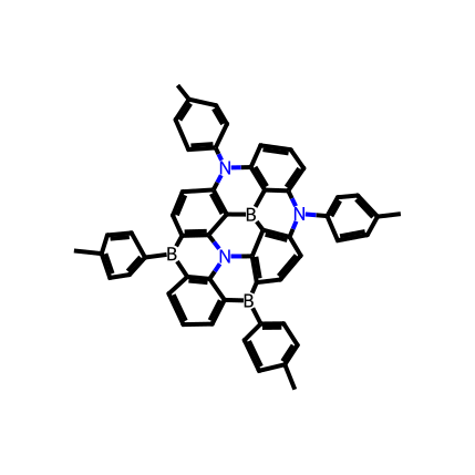 Cc1ccc(B2c3cccc4c3N3c5c2ccc2c5B5c6c(cccc6N(c6ccc(C)cc6)c6ccc(c3c65)B4c3ccc(C)cc3)N2c2ccc(C)cc2)cc1